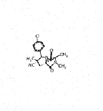 CN1C(=O)[C@@]23C[C@](C)(C#N)C(c4ccc(Cl)cc4)N2C(=O)C1(C)SS3